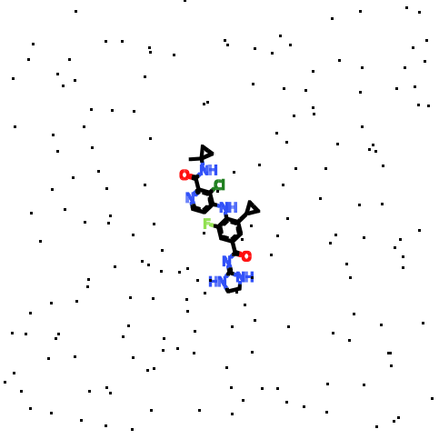 CC1(NC(=O)c2nccc(Nc3c(F)cc(C(=O)N=C4NCCN4)cc3C3CC3)c2Cl)CC1